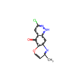 CC1=Nc2cc3[nH]nc(Cl)cc-3c(=O)c2OC=C1